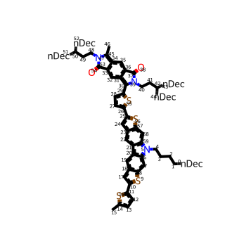 CCCCCCCCCCCCCCn1c2cc3sc(-c4ccc(C)s4)cc3cc2c2cc3cc(-c4ccc(C5=c6cc7c(cc6C(=O)N5CCC(CCCCCCCCCC)CCCCCCCCCC)=C(C)N(CCC(CCCCCCCCCC)CCCCCCCCCC)C7=O)s4)sc3cc21